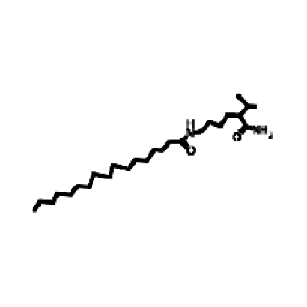 CCCCCCCCCCCCCCCCC(=O)NCCCCC(C(N)=O)C(C)C